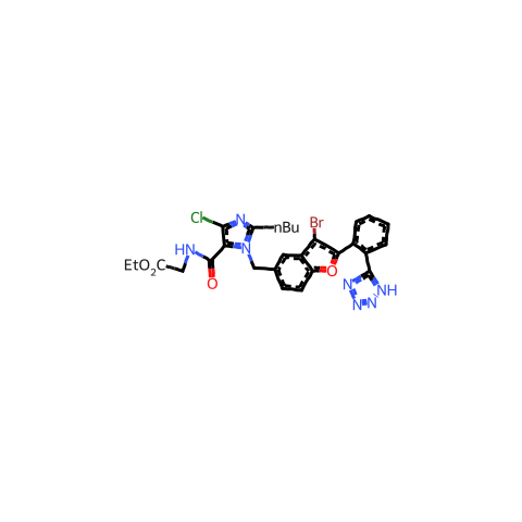 CCCCc1nc(Cl)c(C(=O)NCC(=O)OCC)n1Cc1ccc2oc(-c3ccccc3-c3nnn[nH]3)c(Br)c2c1